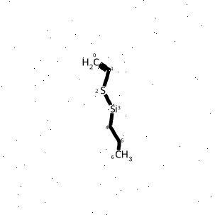 C=CS[Si]CCC